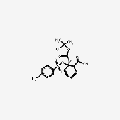 Cc1ccc(S(=O)(=O)OC2(NC(=O)OC(C)(C)C)C=CC=CC2C(=O)O)cc1